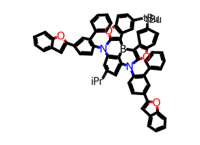 CC(C)c1cc2c3c(c1)N(c1ccc(-c4cc5ccccc5o4)cc1-c1ccccc1)c1oc4ccc(C(C)(C)C)cc4c1B3c1c(oc3ccc(C(C)(C)C)cc13)N2c1ccc(-c2cc3ccccc3o2)cc1-c1ccccc1